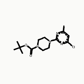 Cc1cc(Cl)nc(N2CCN(C(=O)OC(C)(C)C)CC2)n1